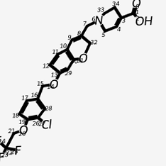 O=C(O)C1=CCN(CC2=Cc3ccc(OCc4ccc(OCC(F)(F)F)c(Cl)c4)cc3OC2)CC1